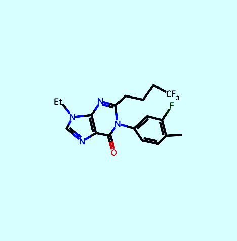 CCn1cnc2c(=O)n(-c3ccc(C)c(F)c3)c(CCCC(F)(F)F)nc21